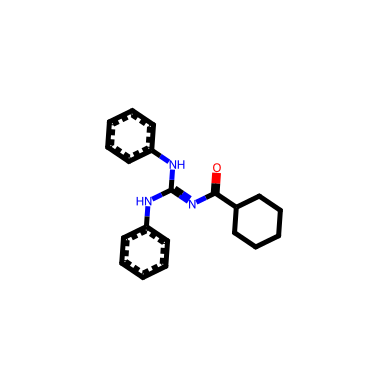 O=C(N=C(Nc1ccccc1)Nc1ccccc1)C1CCCCC1